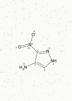 Nc1c[nH]nc1[N+](=O)[O-]